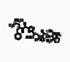 CCOC(=O)[C@@H](C)C[C@H](Cc1ccccc1)NC(=O)c1csc([C@@H](C[C@H](C(C)C)N(C)C(=O)[C@@H](NC(=O)[C@@]2(C)CCCN2C)[C@@H](C)CC)NC(C)=O)n1